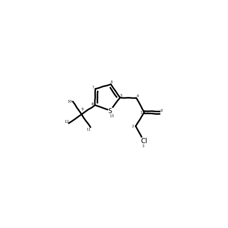 C=C(CCl)Cc1ccc(C(C)(C)C)s1